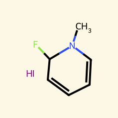 CN1C=CC=CC1F.I